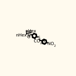 CCCCCCN(CCCCCC)S(=O)(=O)c1ccc(SCc2ccc([N+](=O)[O-])cc2)c(C(=O)O)c1